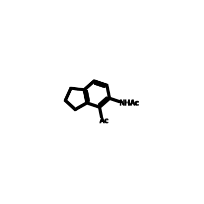 CC(=O)Nc1ccc2c(c1C(C)=O)CCC2